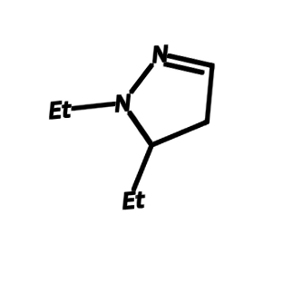 CCC1CC=NN1CC